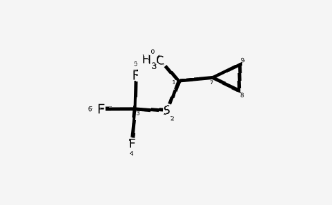 CC(SC(F)(F)F)C1CC1